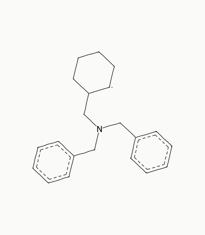 [CH]1CCCCC1CN(Cc1ccccc1)Cc1ccccc1